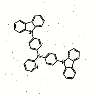 c1ccc(N(c2ccc(-n3c4ccccc4c4ccccc43)cc2)c2ccc(-n3c4ccccc4c4ccccc43)cc2)nc1